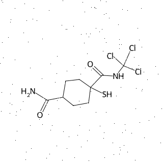 NC(=O)C1CCC(S)(C(=O)NC(Cl)(Cl)Cl)CC1